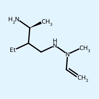 C=CN(C)NCC(CC)[C@H](C)N